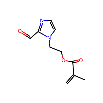 C=C(C)C(=O)OCCn1ccnc1C=O